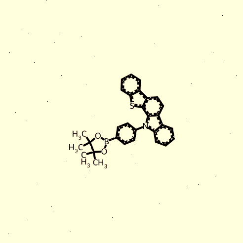 CC1(C)OB(c2ccc(-n3c4ccccc4c4ccc5c6ccccc6sc5c43)cc2)OC1(C)C